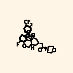 O=C(C[C@@H]1CC[C@@]2(S(=O)(=O)c3ccc(C(F)(F)F)cc3)c3c(F)ccc(F)c3OC[C@H]2C1)N1CCOCC1